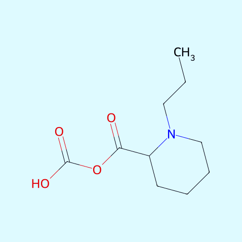 CCCN1CCCCC1C(=O)OC(=O)O